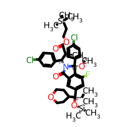 CC[C@@](O[Si](C)(C)C)(c1cc(F)c2c(c1)C(=O)N([C@H](c1ccc(Cl)cc1)[C@H](C)C(=O)OCC[Si](C)(C)C)[C@@]2(OC)c1ccc(Cl)cc1)C1CCOCC1